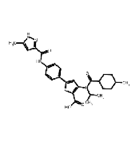 Cc1cc(C(=O)Nc2ccc(-c3cc(N(C(=O)C4CCC(C)CC4)C(C)C)c(C(=O)O)s3)cc2)n[nH]1